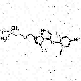 C[Si](C)(C)CCOCn1cc(C#N)c2c(Oc3c(F)cc([N+](=O)[O-])cc3F)ccnc21